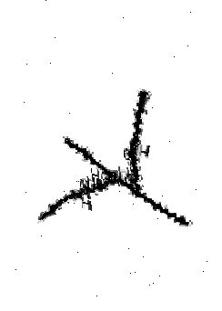 CCCCCCCCCCCCCCN(CCCCN(CCCCCCCCCCCCCC)CC(O)CNCCCC(=O)NCCCCCCCCCCCC)CC(O)CNCCCC(=O)NCCCCCCCCCCCC